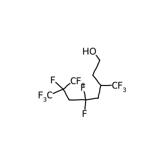 OCCC(CC(F)(F)CC(F)(C(F)(F)F)C(F)(F)F)C(F)(F)F